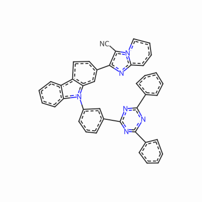 N#Cc1c(-c2ccc3c4ccccc4n(-c4cccc(-c5nc(-c6ccccc6)nc(-c6ccccc6)n5)c4)c3c2)nc2ccccn12